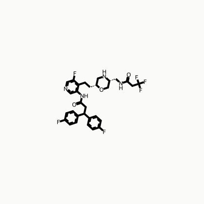 O=C(CC(F)(F)F)NC[C@@H]1CO[C@H](CCc2c(F)cncc2NC(=O)CC(c2ccc(F)cc2)c2ccc(F)cc2)CN1